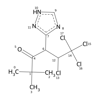 CC(C)(C)C(=O)C(c1nc[nH]n1)C(Cl)C(Cl)(Cl)Cl